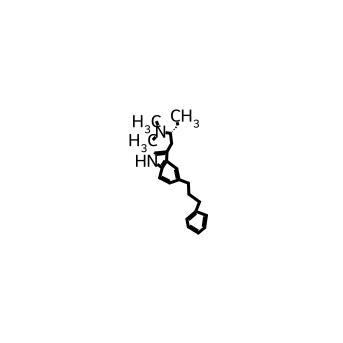 CC[C@H](Cc1c[nH]c2ccc(CCCc3ccccc3)cc12)N(C)C